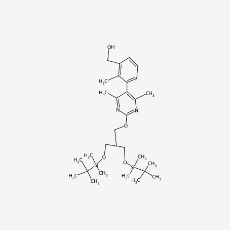 Cc1nc(OCC(CO[Si](C)(C)C(C)(C)C)CO[Si](C)(C)C(C)(C)C)nc(C)c1-c1cccc(CO)c1C